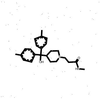 CNC(=O)CCN1CCC(C(O)(c2ccc(C)cc2)c2ccc(C)cc2)CC1